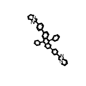 c1ccc(-c2c3ccc(-c4ccc(-c5cn6ccccc6n5)cc4)cc3c(-c3ccccc3)c3ccc(-c4ccc(-c5cn6ccccc6n5)cc4)cc23)cc1